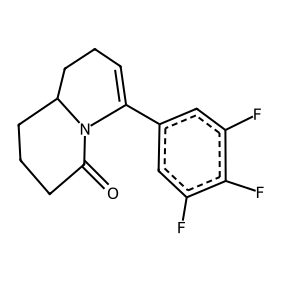 O=C1CCCC2CCC=C(c3cc(F)c(F)c(F)c3)N12